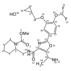 COC(=O)N1CCCCC1CNC(=O)c1nc(-c2ccc(OC(F)F)c(OCC3CC3)c2)oc1C(C)N.Cl